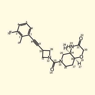 Cc1c(F)cccc1C#CC1CN(C(=O)N2CC[C@@H]3OCC(=O)N[C@@H]3C2)C1